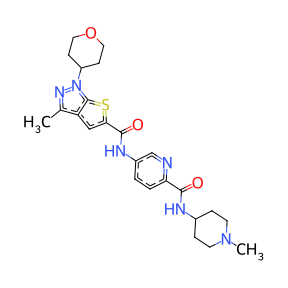 Cc1nn(C2CCOCC2)c2sc(C(=O)Nc3ccc(C(=O)NC4CCN(C)CC4)nc3)cc12